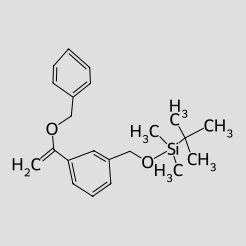 C=C(OCc1ccccc1)c1cccc(CO[Si](C)(C)C(C)(C)C)c1